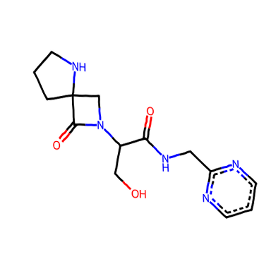 O=C(NCc1ncccn1)C(CO)N1CC2(CCCN2)C1=O